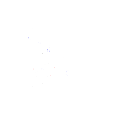 CCCCNC(=O)OC(CN1CCN(c2ccccn2)CC1)CN1C(=O)c2ccccc2C1=O